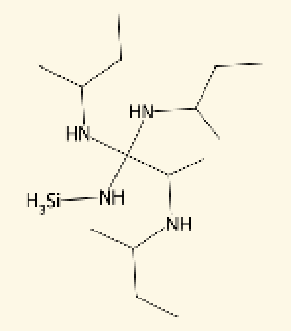 CCC(C)NC(C)C(N[SiH3])(NC(C)CC)NC(C)CC